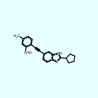 Cc1ccc(C#Cc2ccc3nc(C4CCCC4)[nH]c3c2)c(C=O)c1